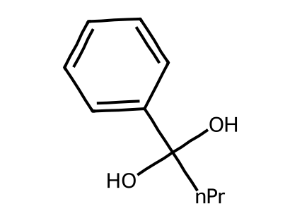 [CH2]CCC(O)(O)c1ccccc1